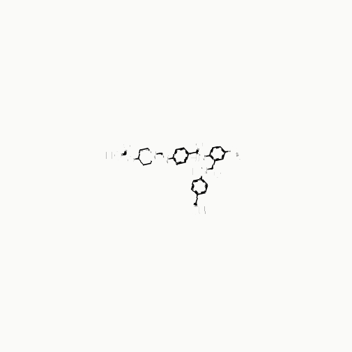 C#Cc1ccc(NC(=O)c2cc(OC)ccc2NC(=O)c2ccc(N=CN3CCC(OC(=O)O)CC3)cc2)cc1